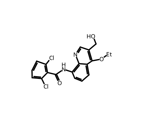 CCOc1c(CO)cnc2c(NC(=O)c3c(Cl)cccc3Cl)cccc12